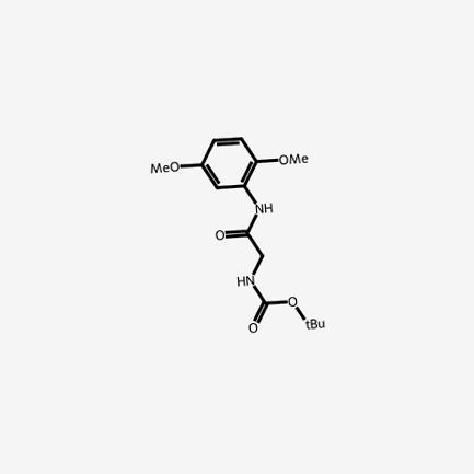 COc1ccc(OC)c(NC(=O)CNC(=O)OC(C)(C)C)c1